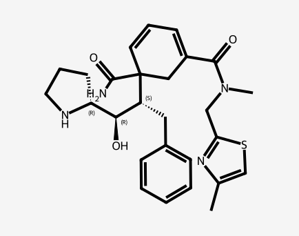 Cc1csc(CN(C)C(=O)C2=CC=CC(C(N)=O)([C@H](Cc3ccccc3)[C@@H](O)[C@H]3CCCN3)C2)n1